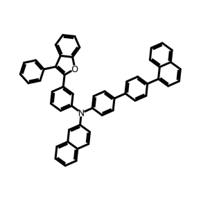 c1ccc(-c2c(-c3cccc(N(c4ccc(-c5ccc(-c6cccc7ccccc67)cc5)cc4)c4ccc5ccccc5c4)c3)oc3ccccc23)cc1